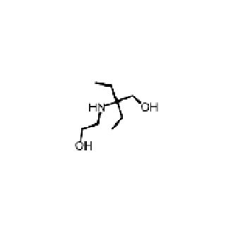 CCC(CC)(CO)NCCO